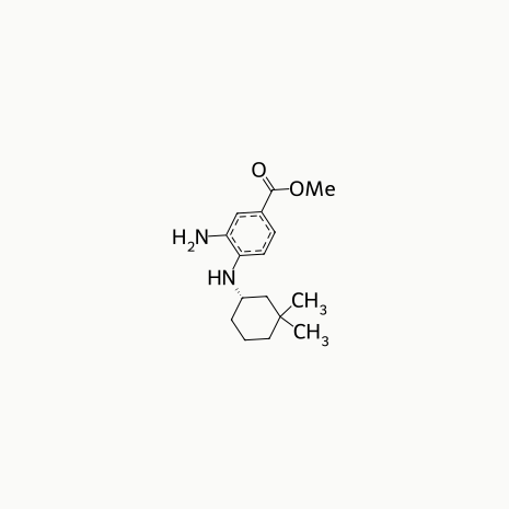 COC(=O)c1ccc(N[C@H]2CCCC(C)(C)C2)c(N)c1